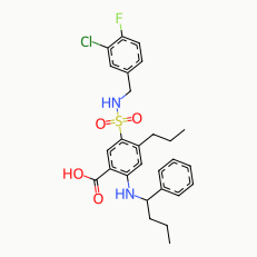 CCCc1cc(NC(CCC)c2ccccc2)c(C(=O)O)cc1S(=O)(=O)NCc1ccc(F)c(Cl)c1